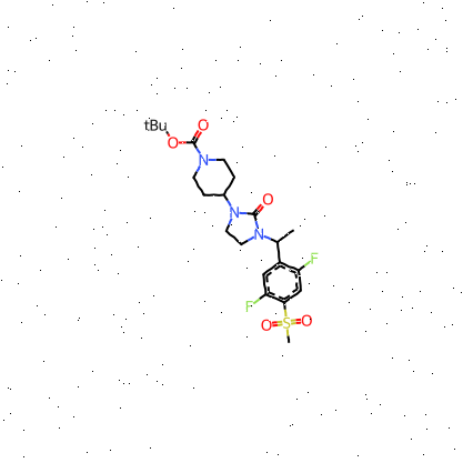 CC(c1cc(F)c(S(C)(=O)=O)cc1F)N1CCN(C2CCN(C(=O)OC(C)(C)C)CC2)C1=O